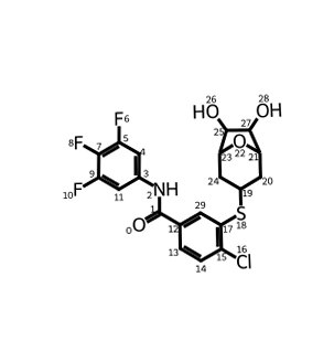 O=C(Nc1cc(F)c(F)c(F)c1)c1ccc(Cl)c(SC2CC3OC(C2)C(O)C3O)c1